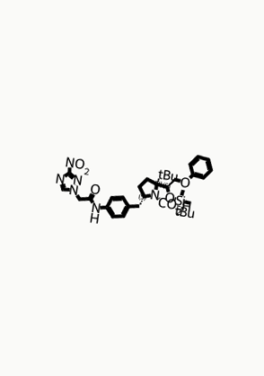 CC(C)(C)[C@@]1([C@@H](COc2ccccc2)O[Si](C)(C)C(C)(C)C)CC[C@@H](Cc2ccc(NC(=O)Cn3cnc([N+](=O)[O-])n3)cc2)N1C(=O)O